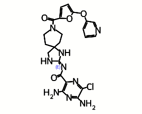 Nc1nc(N)c(C(=O)/N=C2\NCC3(CCN(C(=O)c4ccc(Oc5cccnc5)o4)CC3)N2)nc1Cl